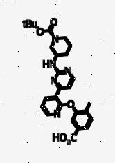 Cc1ccc(C(=O)O)cc1Oc1ncccc1-c1ccnc(NC2CCCN(C(=O)OC(C)(C)C)C2)n1